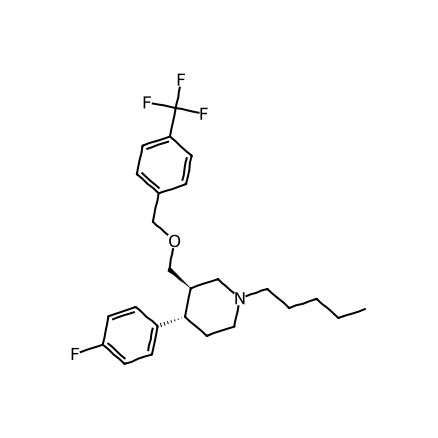 CCCCCN1CC[C@H](c2ccc(F)cc2)[C@@H](COCc2ccc(C(F)(F)F)cc2)C1